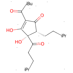 CCC(C)C(=O)C1=C(O)[C@](O)(C(=O)CCC(C)C)[C@@H](CCC(C)C)C1=O